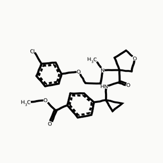 COC(=O)c1ccc(C2(NC(=O)C3(N(C)CCOc4cccc(Cl)c4)CCOC3)CC2)cc1